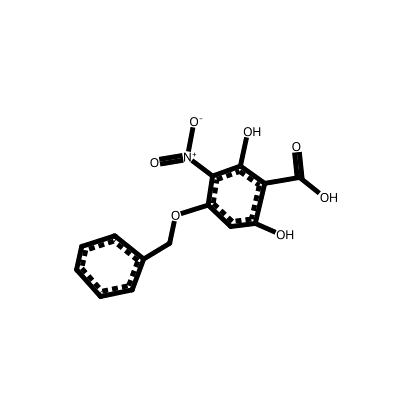 O=C(O)c1c(O)cc(OCc2ccccc2)c([N+](=O)[O-])c1O